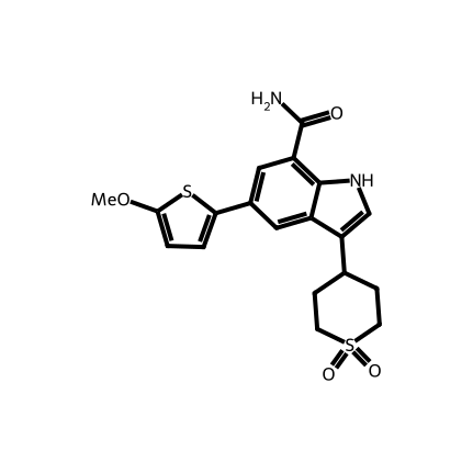 COc1ccc(-c2cc(C(N)=O)c3[nH]cc(C4CCS(=O)(=O)CC4)c3c2)s1